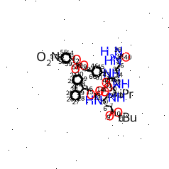 CC(C)[C@H](NC(=O)[C@H](CCC(=O)OC(C)(C)C)NC(=O)OCC1c2ccccc2-c2ccccc21)C(=O)N[C@@H](CCCNC(N)=O)C(=O)Nc1ccc(COC(=O)Oc2ccc([N+](=O)[O-])cc2)cc1